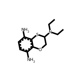 CCN(CC)C1COc2c(N)ccc(N)c2S1